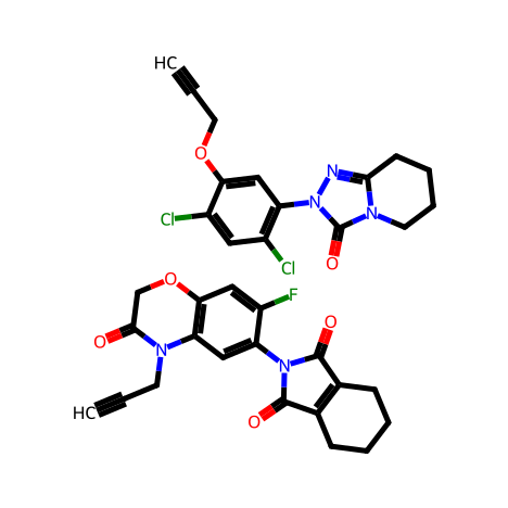 C#CCN1C(=O)COc2cc(F)c(N3C(=O)C4=C(CCCC4)C3=O)cc21.C#CCOc1cc(-n2nc3n(c2=O)CCCC3)c(Cl)cc1Cl